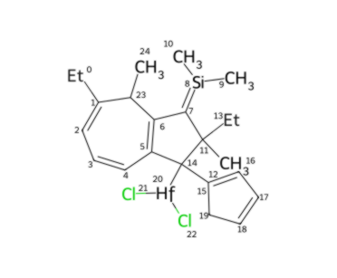 CCC1=CC=CC2=C(C(=[Si](C)C)C(C)(CC)[C]2(C2=CC=CC2)[Hf]([Cl])[Cl])C1C